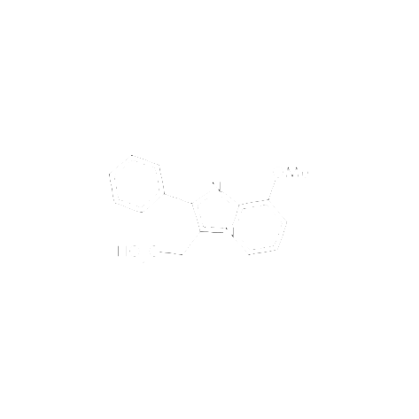 COc1cccn2c(CC(=O)O)c(-c3ccccc3)nc12